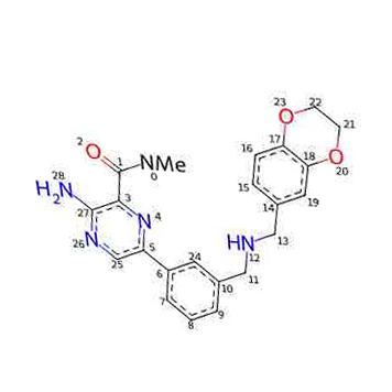 CNC(=O)c1nc(-c2cccc(CNCc3ccc4c(c3)OCCO4)c2)cnc1N